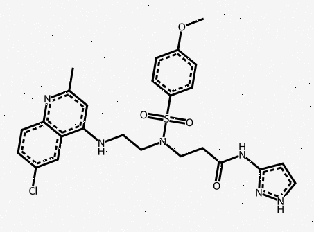 COc1ccc(S(=O)(=O)N(CCNc2cc(C)nc3ccc(Cl)cc23)CCC(=O)Nc2cc[nH]n2)cc1